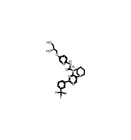 O=C(Nc1ccc(OC[C@@H](O)CO)cn1)N1c2nc(-c3cccc(C(F)(F)F)c3)ncc2N2CCC[C@H]1C2